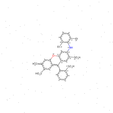 C=c1cc2c(cc1S(=O)(=O)O)=C(c1ccccc1S(=O)(=O)O)c1cc(S(=O)(=O)O)c(Nc3c(CC)cccc3CC)cc1O2